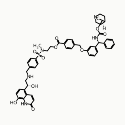 CN(CCOC(=O)c1ccc(COc2cccc([C@@H](NC(=O)O[C@H]3CN4CCC3CC4)c3ccccc3)c2)cc1)S(=O)(=O)c1ccc(CNC[C@H](O)c2ccc(O)c3[nH]c(=O)ccc23)cc1